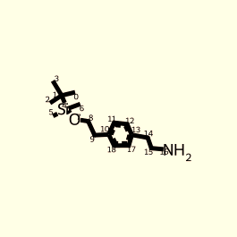 CC(C)(C)[Si](C)(C)OCCc1ccc(CCN)cc1